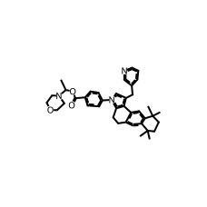 CC(OC(=O)c1ccc(-n2cc(Cc3cccnc3)c3c2CCc2cc4c(cc2-3)C(C)(C)CCC4(C)C)cc1)N1CCOCC1